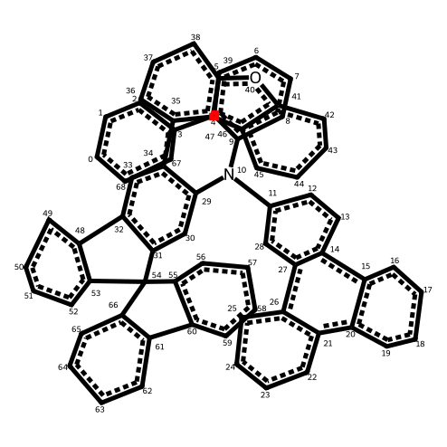 c1ccc(-c2ccccc2N(c2ccc3c4ccccc4c4ccccc4c3c2)c2cc3c(cc2-c2cccc4oc5ccccc5c24)-c2ccccc2C32c3ccccc3-c3ccccc32)cc1